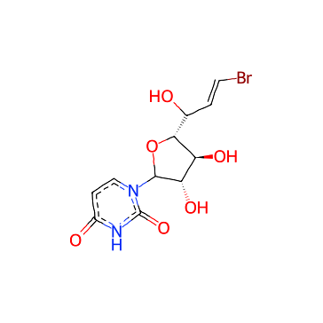 O=c1ccn(C2O[C@H](C(O)/C=C/Br)[C@@H](O)[C@@H]2O)c(=O)[nH]1